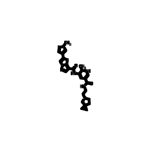 CC1NC=C(C(=O)NCCN2CCC3(CC3)C2)C=C1NC(=O)c1cnn2cc(-c3cnn(C)c3)sc12